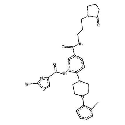 Cc1ccccc1N1CCN(c2ccc(C(=O)NCCCN3CCCC3=O)cc2NC(=O)c2csc(Br)n2)CC1